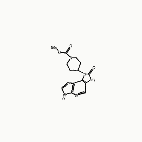 CC(C)(C)OC(=O)N1CCC(n2c(=O)[nH]c3cnc4[nH]ccc4c32)CC1